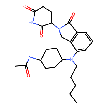 CCCCCN(c1cccc2c1CN(C1CCC(=O)NC1=O)C2=O)C1CCC(NC(C)=O)CC1